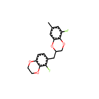 Cc1cc(F)c2c(c1)OC(Cc1ccc3c(c1F)OCCO3)CO2